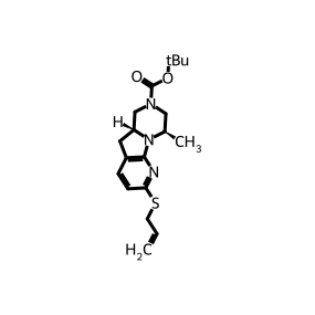 C=CCSc1ccc2c(n1)N1[C@H](C2)CN(C(=O)OC(C)(C)C)C[C@H]1C